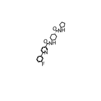 O=C(N[C@H]1CC[C@@H](C(=O)NC2CCCC2)CC1)c1ccc(-c2cccc(F)c2)nc1